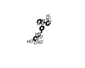 Nc1ncccc1-c1nc2cccnc2n1-c1ccc(CNC(=O)c2ccc(O)c(C=O)n2)cc1